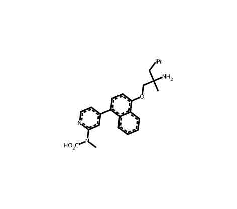 CC(C)CC(C)(N)COc1ccc(-c2ccnc(N(C)C(=O)O)c2)c2ccccc12